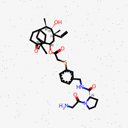 C=C[C@]1(C)C[C@@H](OC(=O)CSc2cccc(CNC(=O)[C@@H]3CCCN3C(=O)CN)c2)[C@]2(C)C(C)CC34CC(CCC3=O)(C42)[C@@H](C)[C@@H]1O